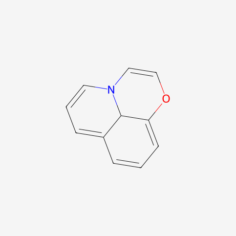 C1=CC2=CC=CN3C=COC(=C1)C23